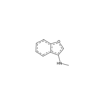 CNc1coc2ccccc12